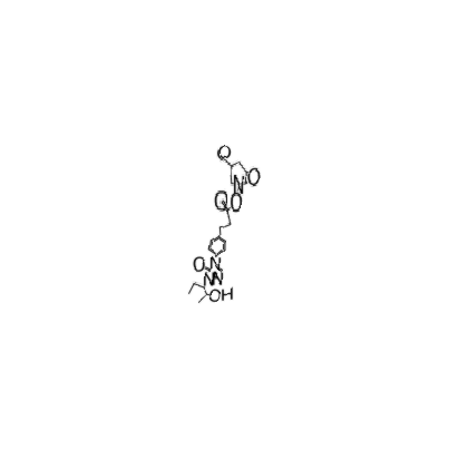 CCC([C@H](C)O)n1ncn(-c2ccc(CCC(=O)ON3CC(C=O)CC4OC43)cc2)c1=O